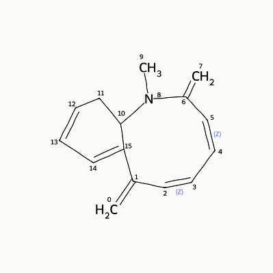 C=C1/C=C\C=C/C(=C)N(C)C2CC=CC=C12